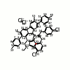 CCCCc1c(-c2ccc(C)cc2)c(C)cc2c1[CH]([Zr+2]([C]1=CC=CC1)=[C](Cc1ccc(Cl)cc1)Cc1ccc(Cl)cc1)c1cc(-c3ccc(C)cc3)c(C)cc1-2.[Cl-].[Cl-]